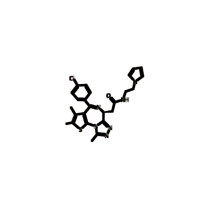 Cc1sc2c(c1C)C(c1ccc(Cl)cc1)=N[C@@H](CC(=O)NCCn1cccc1)c1nnc(C)n1-2